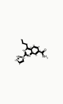 CCCc1nc(-n2ccnn2)nc2cc(C(N)=O)ccc12